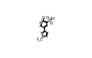 CCS(=O)(=O)c1cc(-c2ccn(C(F)(F)F)n2)cnc1Cl